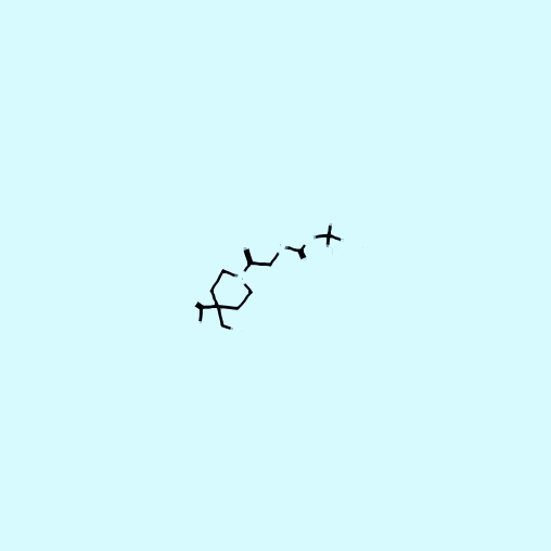 CC(C)(C)OC(=O)NCC(=O)N1CCC(CO)(C(=O)O)CC1